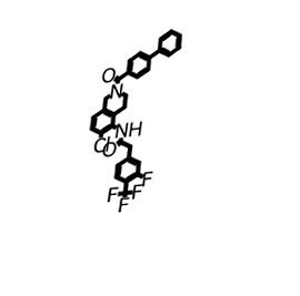 O=C(Cc1ccc(C(F)(F)F)c(F)c1)Nc1c(Cl)ccc2c1CCN(C(=O)c1ccc(-c3ccccc3)cc1)C2